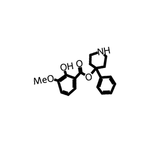 COc1cccc(C(=O)OC2(c3ccccc3)CCNCC2)c1O